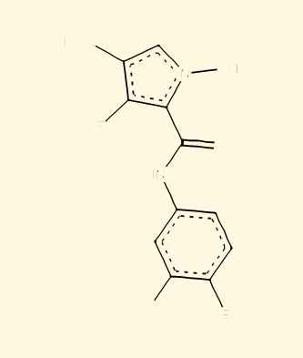 Cc1cc(NC(=O)c2c(F)c(S(=O)(=O)O)cn2C)ccc1F